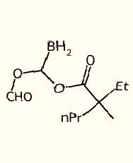 BC(OC=O)OC(=O)C(C)(CC)CCC